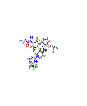 Cc1cccc(OCC(C)C)c1-n1nc2c(c1-c1cc(F)c(NC(N)=O)cc1F)CN(c1ccnc(C(F)(F)F)n1)CC2